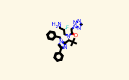 CC(C)(C)[C@H](c1nc(-c2ccccc2)cn1Cc1ccccc1)N(C[C@@H](F)CN)C(=O)Cn1ncnn1